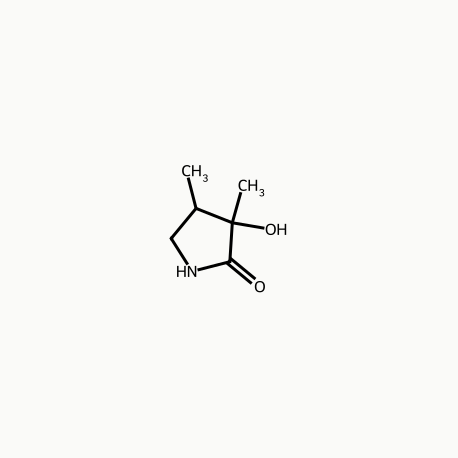 CC1CNC(=O)C1(C)O